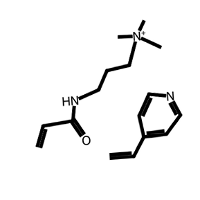 C=CC(=O)NCCC[N+](C)(C)C.C=Cc1ccncc1